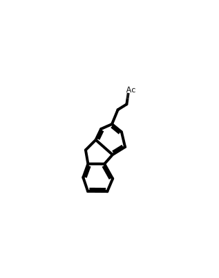 CC(=O)CCc1ccc2c(c1)Cc1ccccc1-2